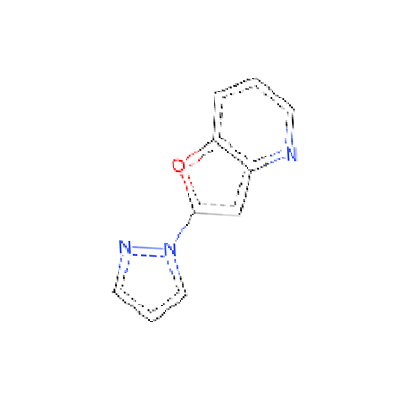 c1cnc2cc(-n3cccn3)oc2c1